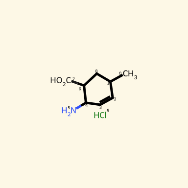 CC1C=CC(N)C(C(=O)O)C1.Cl